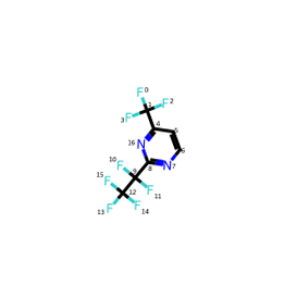 FC(F)(F)c1[c]cnc(C(F)(F)C(F)(F)F)n1